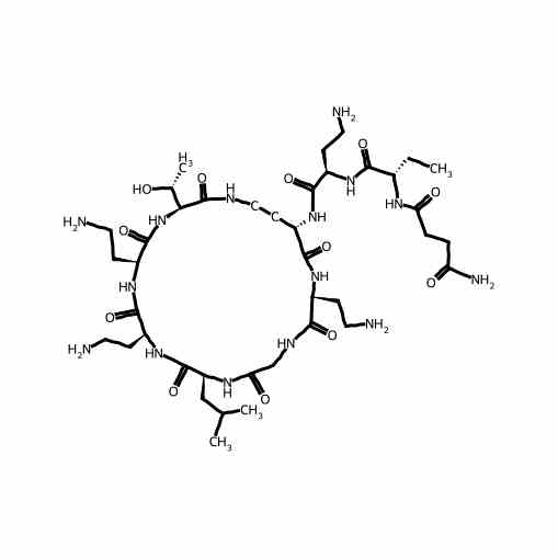 CC[C@H](NC(=O)CCC(N)=O)C(=O)N[C@H](CCN)C(=O)N[C@H]1CCNC(=O)[C@H]([C@@H](C)O)NC(=O)[C@H](CCN)NC(=O)[C@H](CCN)NC(=O)[C@H](CC(C)C)NC(=O)CNC(=O)[C@H](CCN)NC1=O